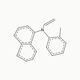 C=CN(c1ccccc1C)c1cccc2ccccc12